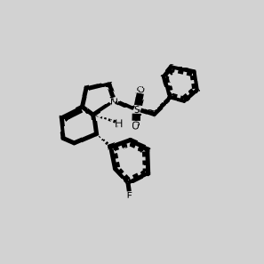 O=S(=O)(Cc1ccccc1)N1CCC2=CCC[C@@H](c3cccc(F)c3)[C@@H]21